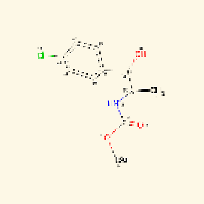 C[C@@H](NC(=O)OC(C)(C)C)[C@@H](O)c1ccc(Cl)cc1